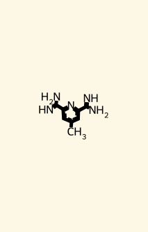 Cc1cc(C(=N)N)nc(C(=N)N)c1